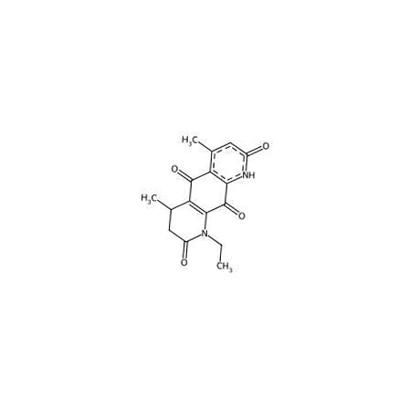 CCN1C(=O)CC(C)C2=C1C(=O)c1[nH]c(=O)cc(C)c1C2=O